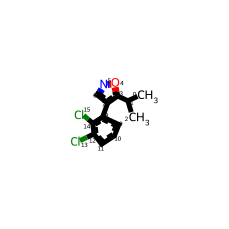 CC(C)c1oncc1-c1cccc(Cl)c1Cl